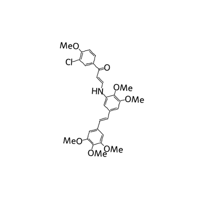 COc1ccc(C(=O)C=CNc2cc(C=Cc3cc(OC)c(OC)c(OC)c3)cc(OC)c2OC)cc1Cl